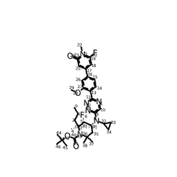 CCC[C@@]1(C)[C@H](F)[C@H](N(c2cnc(-c3ccc(-c4cc(F)n(C)c(=O)c4)cc3OC)nn2)C2CC2)CC(C)(C)N1C(=O)OC(C)(C)C